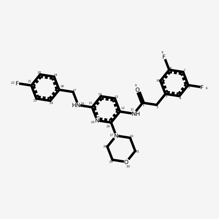 O=C(Cc1cc(F)cc(F)c1)Nc1ccc(NCc2ccc(F)cc2)nc1N1CCOCC1